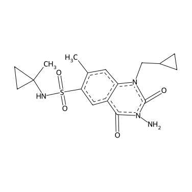 Cc1cc2c(cc1S(=O)(=O)NC1(C)CC1)c(=O)n(N)c(=O)n2CC1CC1